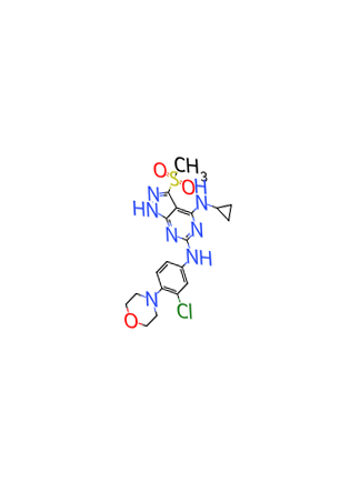 CS(=O)(=O)c1n[nH]c2nc(Nc3ccc(N4CCOCC4)c(Cl)c3)nc(NC3CC3)c12